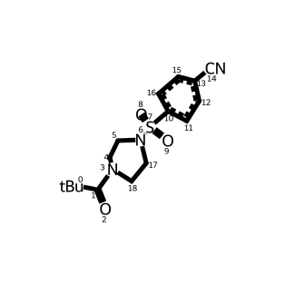 CC(C)(C)C(=O)N1CCN(S(=O)(=O)c2ccc(C#N)cc2)CC1